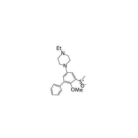 CCN1CCN(c2cc(-c3ccccc3)c(OC)c([S+](C)[O-])c2)CC1